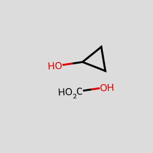 O=C(O)O.OC1CC1